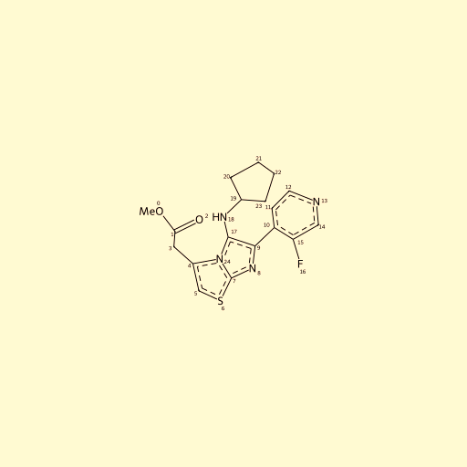 COC(=O)Cc1csc2nc(-c3ccncc3F)c(NC3CCCC3)n12